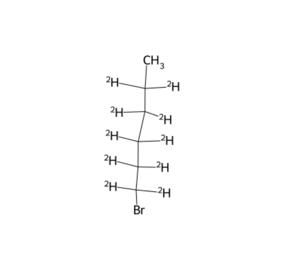 [2H]C([2H])(C)C([2H])([2H])C([2H])([2H])C([2H])([2H])C([2H])([2H])Br